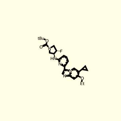 CCOc1cc2ncc(-c3cccc(N[C@H]4CN(C(=O)OC(C)(C)C)C[C@@H]4F)n3)n2cc1C1CC1